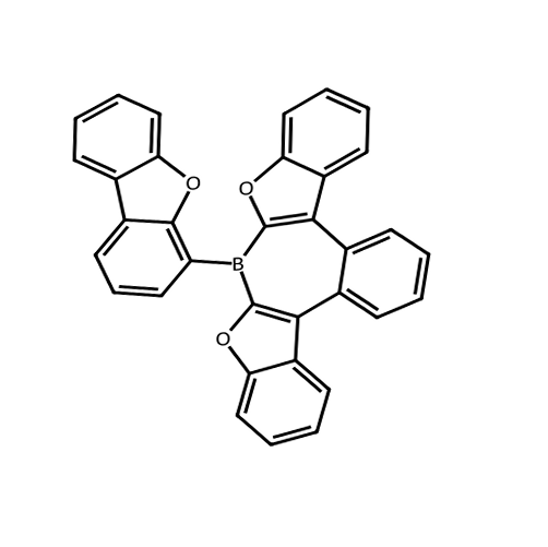 c1ccc2c(c1)-c1c(oc3ccccc13)B(c1cccc3c1oc1ccccc13)c1oc3ccccc3c1-2